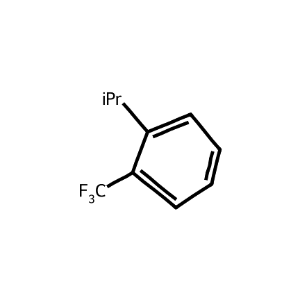 CC(C)c1ccccc1C(F)(F)F